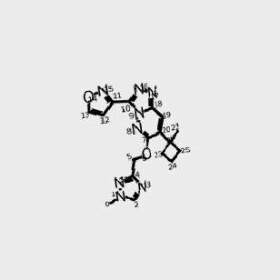 Cn1cnc(COc2nn3c(-c4ccon4)nnc3cc2C2(C)CCC2)n1